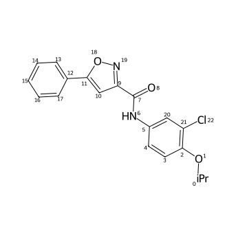 CC(C)Oc1ccc(NC(=O)c2cc(-c3ccccc3)on2)cc1Cl